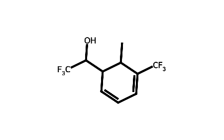 CC1C(C(F)(F)F)=CC=CC1C(O)C(F)(F)F